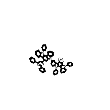 Cc1cc2c(c3ccccc3n2-c2ccccc2)c2c1c1cc(-n3c4ccccc4c4c3cc(-c3cc(-c5ccccc5)nc(-c5ccccc5)n3)c3c5ccccc5n(-c5ccccc5)c34)ccc1n2-c1ccccc1